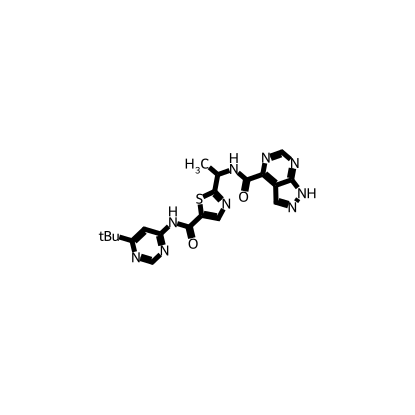 CC(NC(=O)c1ncnc2[nH]ncc12)c1ncc(C(=O)Nc2cc(C(C)(C)C)ncn2)s1